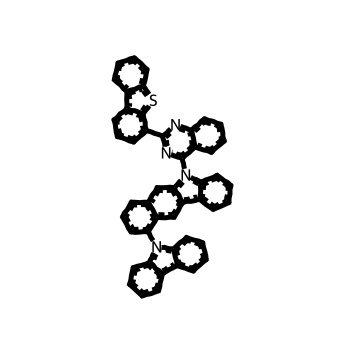 c1cc(-n2c3ccccc3c3ccccc32)c2cc3c4ccccc4n(-c4nc(-c5cccc6c5sc5ccccc56)nc5ccccc45)c3cc2c1